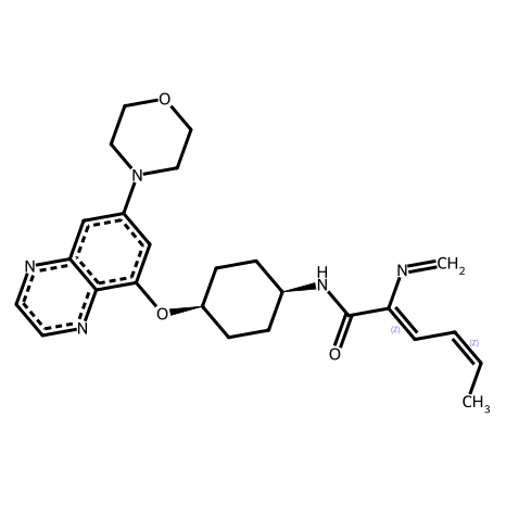 C=N/C(=C\C=C/C)C(=O)N[C@H]1CC[C@@H](Oc2cc(N3CCOCC3)cc3nccnc23)CC1